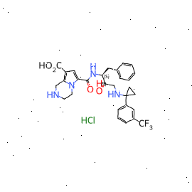 Cl.O=C(O)c1cc(C(=O)N[C@@H](Cc2ccccc2)[C@H](O)CNC2(c3cccc(C(F)(F)F)c3)CC2)n2c1CNCC2